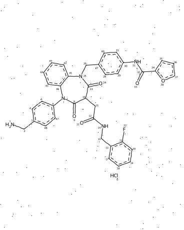 Cl.NCc1ccc(N2C(=O)C(CC(=O)NCc3ccccc3F)C(=O)N(Cc3ccc(NC(=O)c4ccco4)cc3)c3ccccc32)cc1